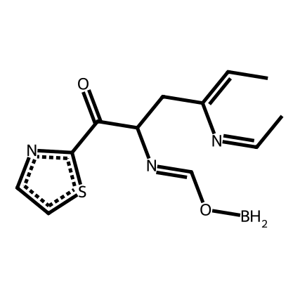 BOC=NC(CC(=C/C)/N=C\C)C(=O)c1nccs1